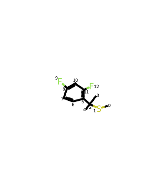 CSC(C)(C)c1ccc(F)cc1F